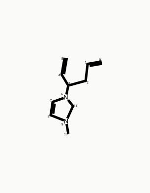 C=CCC(C=C)N1C=CN(C)C1